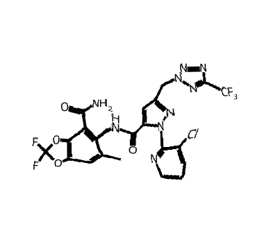 Cc1cc2c(c(C(N)=O)c1NC(=O)c1cc(Cn3nnc(C(F)(F)F)n3)nn1-c1ncccc1Cl)OC(F)(F)O2